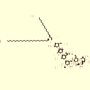 CCCCCCCCCCCCC/C=C/[C@@H](O)[C@H](CO[C@@H]1OC(CO)[C@@H](O[C@@H]2OC(CO)[C@H](O[C@@H]3OC(CO)[C@H](O)[C@H](O[C@@H]4OC(CO[C@@H]5OC(CO)[C@@H](O[C@@H]6OC(CO)[C@H](O)[C@H](O)C6O)[C@H](O)C5NC(C)=O)[C@H](O)[C@H](O)C4NC(C)=O)C3O)[C@H](O)C2O)[C@H](O)C1O)NC(=O)CCCCCCCCCCCCCCCCCCCCCCCCC